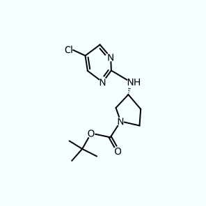 CC(C)(C)OC(=O)N1CC[C@@H](Nc2ncc(Cl)cn2)C1